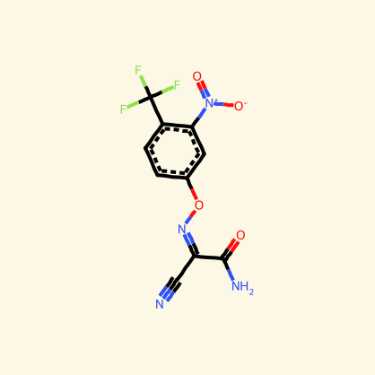 N#CC(=NOc1ccc(C(F)(F)F)c([N+](=O)[O-])c1)C(N)=O